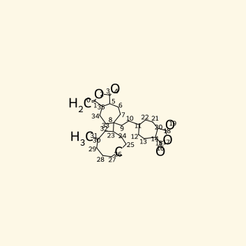 C=C1OC(=O)C2CCC(CCC3CCC4C(=O)OC(=O)C4CC3)(C3CCCCCCC(C)C3)CCC12